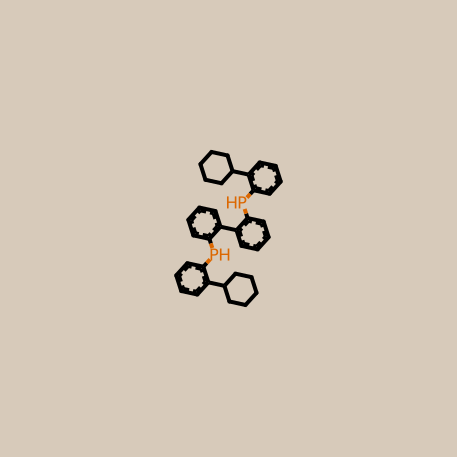 c1ccc(-c2ccccc2Pc2ccccc2C2CCCCC2)c(Pc2ccccc2C2CCCCC2)c1